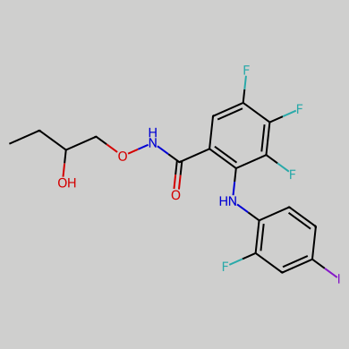 CCC(O)CONC(=O)c1cc(F)c(F)c(F)c1Nc1ccc(I)cc1F